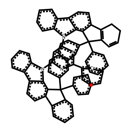 C1=CC2=C(CC1)c1ccc3c4ccccc4n(-c4cc(-n5c6ccccc6c6ccc7c(c65)C(c5ccccc5)(c5ccccc5)c5ccccc5-7)nc(-c5ccccc5)n4)c3c1C2(c1ccccc1)c1ccccc1